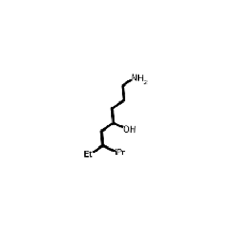 CCC(CC(O)CCCN)C(C)C